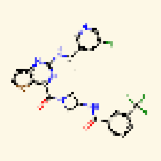 C[C@H](Nc1nc(C(=O)N2CC(NC(=O)c3cccc(C(F)(F)F)c3)C2)c2sccc2n1)c1cncc(F)c1